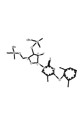 Cc1cn([C@H]2O[C@@H](CO[Si](C)(C)C(C)(C)C)C(O[Si](C)(C)C(C)(C)C)[C@H]2F)c(=S)nc1Oc1c(C)cccc1C